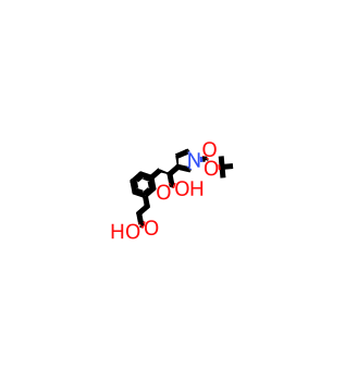 CC(C)(C)OC(=O)N1CC[C@H]([C@H](Cc2cccc(CCC(=O)O)c2)C(=O)O)C1